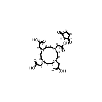 O=C(O)CN1CCN(CC(=O)O)CCN(CC(=O)O)CCN(CC(=O)O)CC1.O=C1C=CC(=O)N1